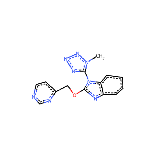 Cn1nnnc1-n1c(OCc2ccncn2)nc2ccccc21